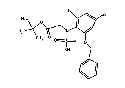 CC(C)(C)OC(=O)CN(c1c(F)cc(Br)cc1OCc1ccccc1)S(N)(=O)=O